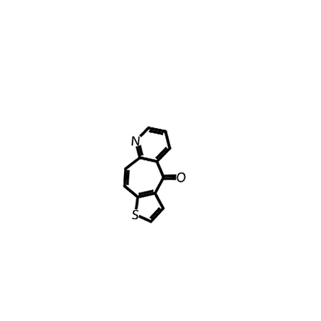 O=c1c2cccnc2ccc2sccc12